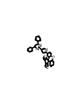 c1ccc(-c2cc(-c3ccccc3)nc(-c3ccc(-c4ccc5c(c4)C4(c6ccccc6O5)c5ccccc5-c5ccccc54)nc3)n2)cc1